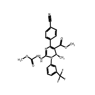 COC(=O)NNC1=NC(c2ccc(C#N)cc2)=C(C(=O)OC)[C@@H](C)N1c1cccc(C(F)(F)F)c1